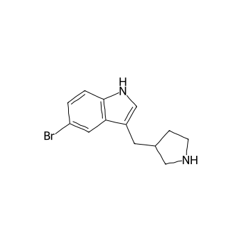 Brc1ccc2[nH]cc(CC3CCNC3)c2c1